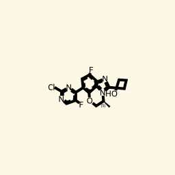 C[C@H]1COc2c(-c3nc(Cl)ncc3F)cc(F)c3nc(C4(O)CCC4)n1c23